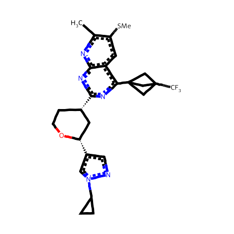 CSc1cc2c(C34CC(C(F)(F)F)(C3)C4)nc([C@H]3CCO[C@@H](c4cnn(C5CC5)c4)C3)nc2nc1C